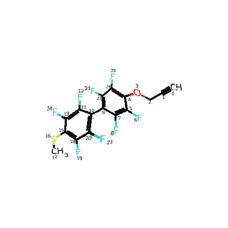 C#CCOc1c(F)c(F)c(-c2c(F)c(F)c(SC)c(F)c2F)c(F)c1F